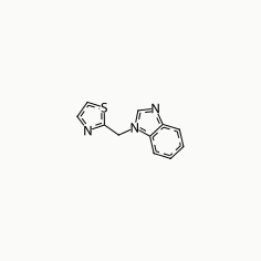 c1ccc2c(c1)ncn2Cc1nccs1